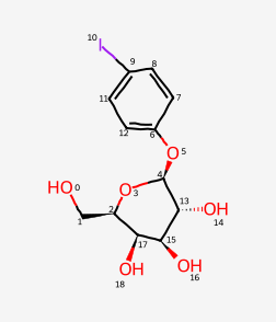 OC[C@H]1O[C@@H](Oc2ccc(I)cc2)[C@H](O)[C@@H](O)[C@H]1O